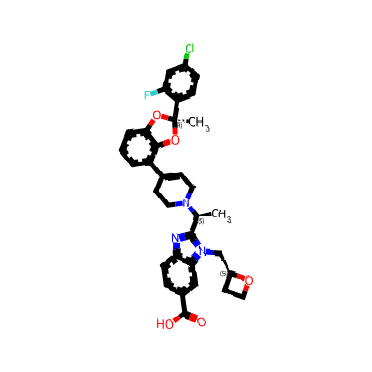 C[C@@H](c1nc2ccc(C(=O)O)cc2n1C[C@@H]1CCO1)N1CC=C(c2cccc3c2O[C@](C)(c2ccc(Cl)cc2F)O3)CC1